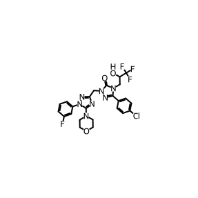 O=c1n(Cc2nc(N3CCOCC3)n(-c3cccc(F)c3)n2)nc(-c2ccc(Cl)cc2)n1CC(O)C(F)(F)F